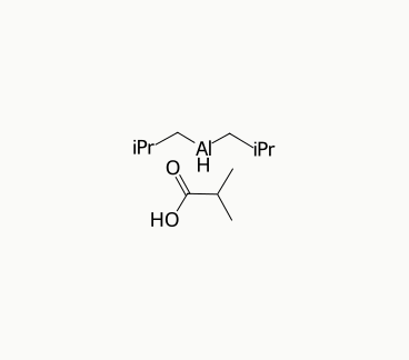 CC(C)C(=O)O.CC(C)[CH2][AlH][CH2]C(C)C